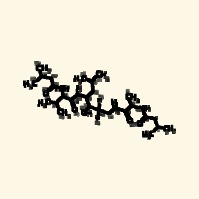 CC(C)CC(=O)NC(C)C(=O)NCC(F)(F)C(O)C(CC(C)C)NC(=O)C(NC(=O)CC(C)C)C(C)C